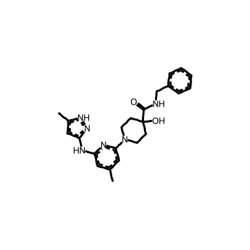 Cc1cc(Nc2cc(C)[nH]n2)nc(N2CCC(O)(C(=O)NCc3ccccc3)CC2)c1